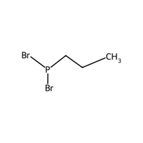 CCCP(Br)Br